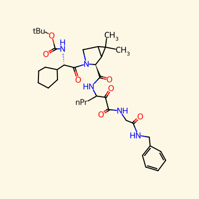 CCCC(NC(=O)[C@@H]1C2C(CN1C(=O)[C@@H](NC(=O)OC(C)(C)C)C1CCCCC1)C2(C)C)C(=O)C(=O)NCC(=O)NCc1ccccc1